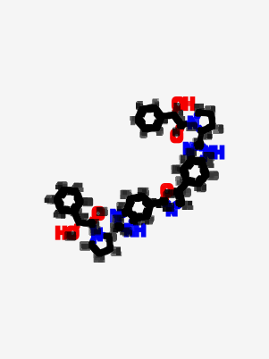 O=C([C@H](O)c1ccccc1)N1CCC[C@H]1c1nc2cc(-c3cnc(-c4ccc5nc([C@@H]6CCCN6C(=O)[C@H](O)c6ccccc6)[nH]c5c4)o3)ccc2[nH]1